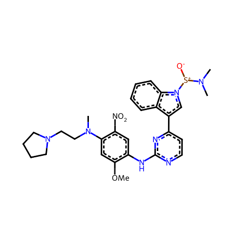 COc1cc(N(C)CCN2CCCC2)c([N+](=O)[O-])cc1Nc1nccc(-c2cn([S+]([O-])N(C)C)c3ccccc23)n1